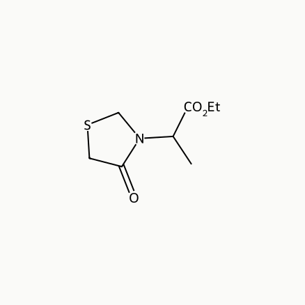 CCOC(=O)C(C)N1CSCC1=O